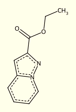 CCOC(=O)c1cc2ccccn2n1